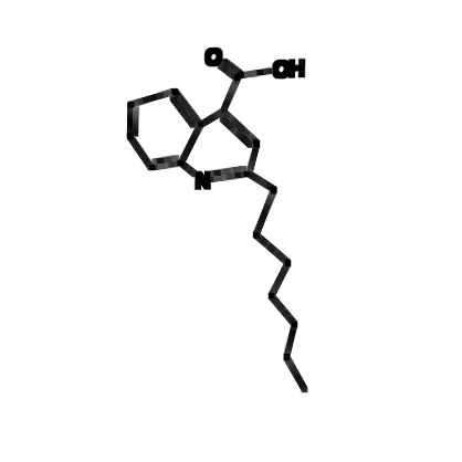 CCCCCCCc1cc(C(=O)O)c2ccccc2n1